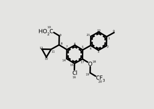 Cc1ccc(-c2cc(C(CC(=O)O)C3CC3)cc(Cl)c2OCC(F)(F)F)cc1